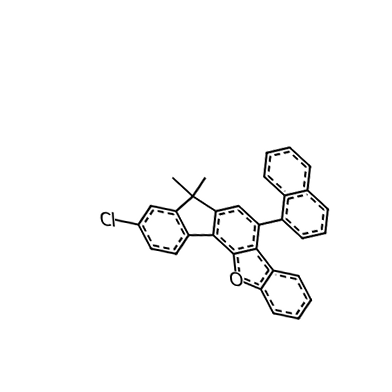 CC1(C)c2cc(Cl)ccc2-c2c1cc(-c1cccc3ccccc13)c1c2oc2ccccc21